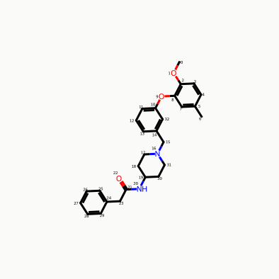 COc1ccc(C)cc1Oc1cccc(CN2CCC(NC(=O)Cc3ccccc3)CC2)c1